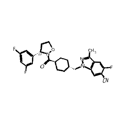 Cc1nn(C[C@H]2CC[C@H](C(=O)N3OCC[C@H]3c3cc(F)cc(F)c3)CC2)c2cc(C#N)c(F)cc12